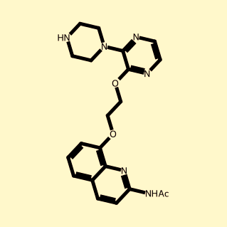 CC(=O)Nc1ccc2cccc(OCCOc3nccnc3N3CCNCC3)c2n1